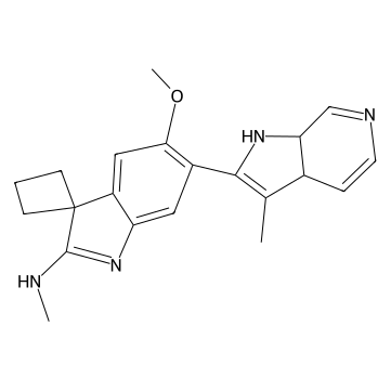 CNC1=Nc2cc(C3=C(C)C4C=CN=CC4N3)c(OC)cc2C12CCC2